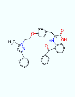 Cc1cc(-c2ccccc2)nn1CCOc1ccc(C[C@H](Nc2ccccc2C(=O)c2ccccc2)C(=O)O)cc1